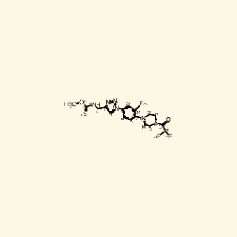 COC(=S)NCc1cn(-c2ccc(N3CCN(C(=O)C(F)F)CC3)c(F)c2)nn1